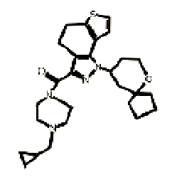 O=C(c1nn(C2CCOC3(CCCC3)C2)c2c1CCc1sccc1-2)N1CCN(CC2CC2)CC1